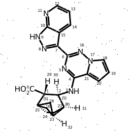 O=C(O)[C@@H]1[C@@H](Nc2nc(-c3n[nH]c4ncccc34)nn3cccc23)[C@@H]2CC[C@]13C[C@H]2C3